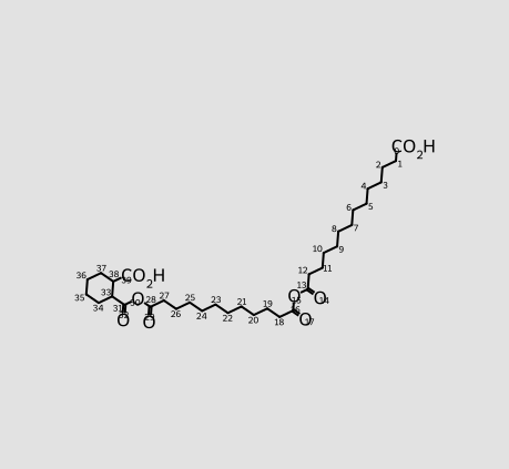 O=C(O)CCCCCCCCCCCCC(=O)OC(=O)CCCCCCCCCCC(=O)OC(=O)C1CCCCC1C(=O)O